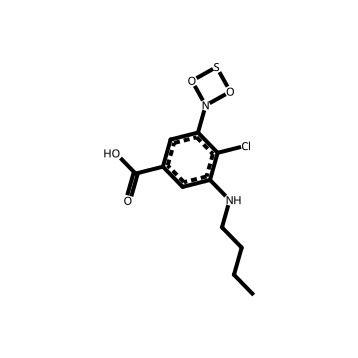 CCCCNc1cc(C(=O)O)cc(N2OSO2)c1Cl